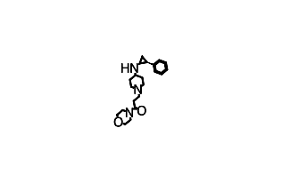 O=C(CCN1CCC(N[C@@H]2C[C@H]2c2ccccc2)CC1)N1CCOCC1